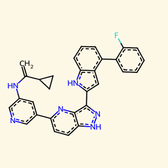 C=C(Nc1cncc(-c2ccc3[nH]nc(-c4cc5c(-c6ccccc6F)cccc5[nH]4)c3n2)c1)C1CC1